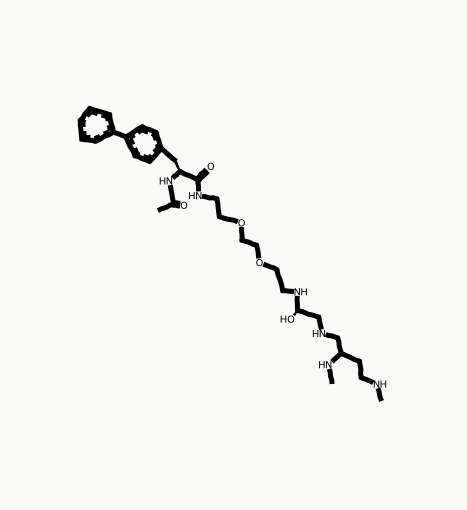 CNCCC(CNC[C@H](O)NCCOCCOCCNC(=O)[C@H](Cc1ccc(-c2ccccc2)cc1)NC(C)=O)NC